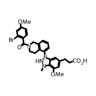 COc1ccc(C(=O)N2CCc3c(cccc3N3NN(C)c4c(OC)cc(CCC(=O)O)cc43)C2)c(Br)c1